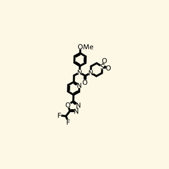 COc1ccc(N(Cc2ccc(-c3nnc(C(F)F)o3)cn2)C(=O)N2CCS(=O)(=O)CC2)cc1